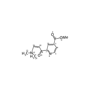 COC(=O)c1ccnc(C(=O)/C=C\N(C)C)c1